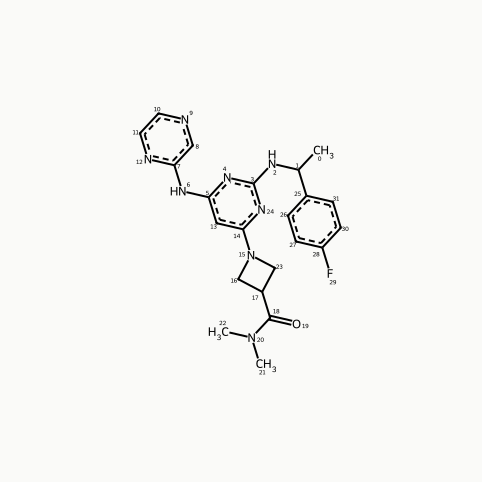 CC(Nc1nc(Nc2cnccn2)cc(N2CC(C(=O)N(C)C)C2)n1)c1ccc(F)cc1